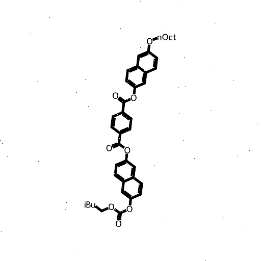 CCCCCCCCOc1ccc2cc(OC(=O)c3ccc(C(=O)Oc4ccc5cc(OC(=O)OCC(C)CC)ccc5c4)cc3)ccc2c1